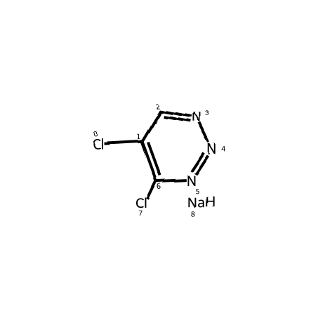 Clc1cnnnc1Cl.[NaH]